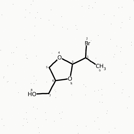 CC(Br)C1OCC(CO)O1